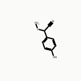 COC(C#N)c1ccc(O)cc1